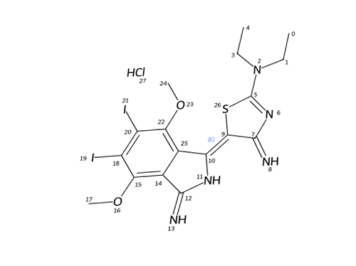 CCN(CC)C1=NC(=N)/C(=C2\NC(=N)c3c(OC)c(I)c(I)c(OC)c32)S1.Cl